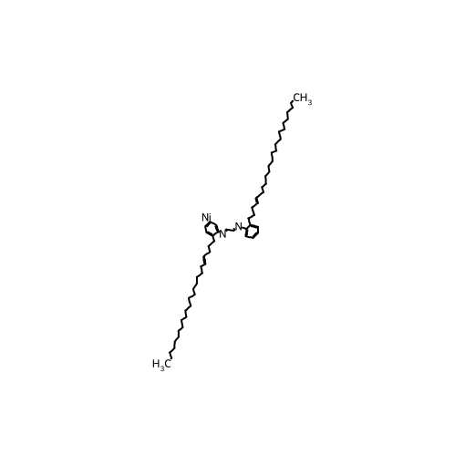 CCCCCCCCCCCCCCCCCCCC=CCCCc1ccccc1N=CC=Nc1ccccc1CCCC=CCCCCCCCCCCCCCCCCCCC.[Ni]